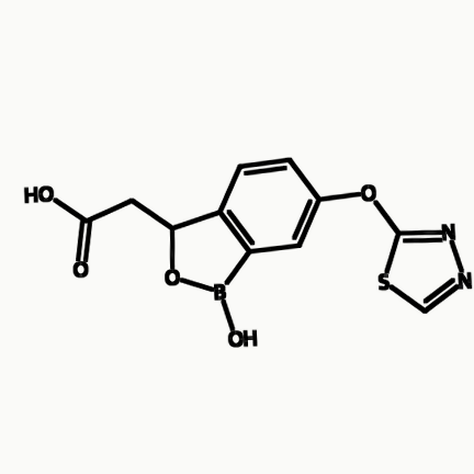 O=C(O)CC1OB(O)c2cc(Oc3nncs3)ccc21